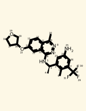 Cc1c([C@@H](C)Nc2nnc(C)c3ccc(OC4CCOC4)cc23)cc(N)cc1C(F)(F)F